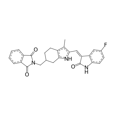 Cc1c(C=C2C(=O)Nc3ccc(F)cc32)[nH]c2c1CCC(CN1C(=O)c3ccccc3C1=O)C2